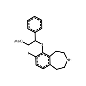 COCC(Sc1c(I)ccc2c1CCNCC2)c1ccccc1